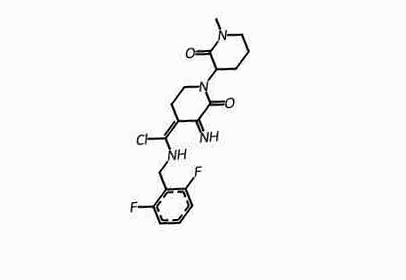 CN1CCCC(N2CC/C(=C(\Cl)NCc3c(F)cccc3F)C(=N)C2=O)C1=O